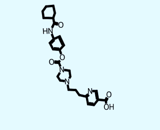 O=C(O)c1ccc(CCCN2CCN(C(=O)Oc3ccc(NC(=O)C4CCCCC4)cc3)CC2)nc1